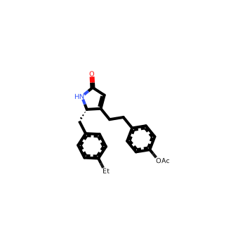 CCc1ccc(C[C@@H]2NC(=O)C=C2CCc2ccc(OC(C)=O)cc2)cc1